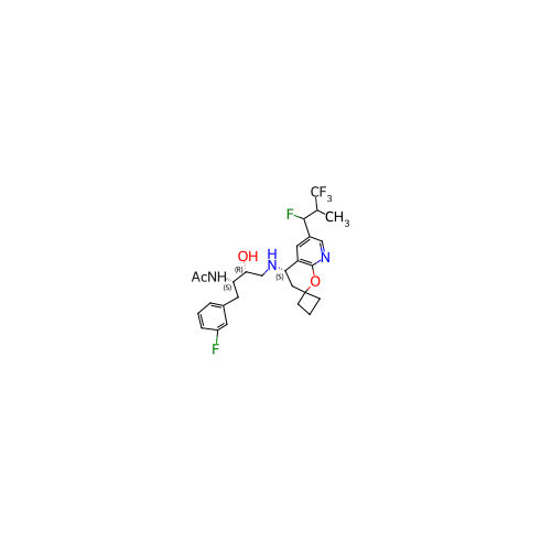 CC(=O)N[C@@H](Cc1cccc(F)c1)[C@H](O)CN[C@H]1CC2(CCC2)Oc2ncc(C(F)C(C)C(F)(F)F)cc21